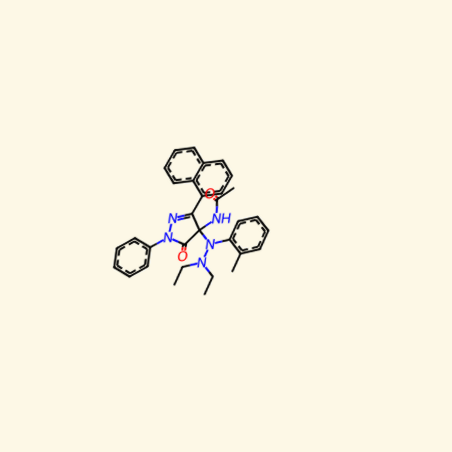 CCN(CC)N(c1ccccc1C)C1(NC(C)=O)C(=O)N(c2ccccc2)N=C1c1cccc2ccccc12